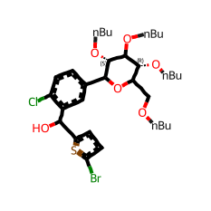 CCCCOCC1OC(c2ccc(Cl)c(C(O)c3ccc(Br)s3)c2)[C@H](OCCCC)C(OCCCC)[C@@H]1OCCCC